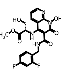 COC(=O)[C@H](CO)Nc1c(C(=O)NCc2ccc(F)cc2F)c(=O)n(O)c2ncccc12